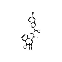 C[C@H](c1c[nH]c(=O)c2ccccc12)N(C)C(=O)c1cc2cc(F)ccn2c1